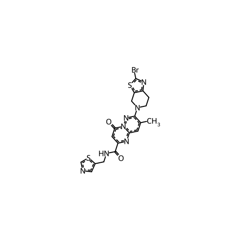 Cc1cc2nc(C(=O)NCc3cncs3)cc(=O)n2nc1N1CCc2nc(Br)sc2C1